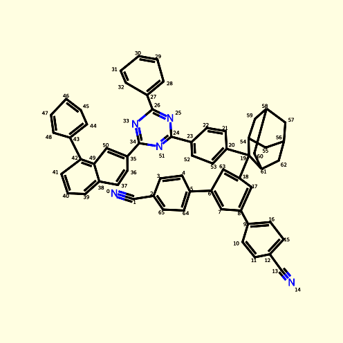 N#Cc1ccc(-c2cc(-c3ccc(C#N)cc3)cc(C3(c4ccc(-c5nc(-c6ccccc6)nc(-c6ccc7cccc(-c8ccccc8)c7c6)n5)cc4)C4CC5CC(C4)CC3C5)c2)cc1